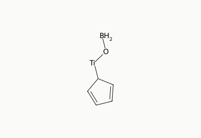 B[O][Ti][CH]1C=CC=C1